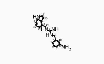 N=C(NCc1cccc(N)c1)NCc1ccnc2[nH]ccc12